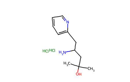 CC(C)(O)CC(N)Cc1ccccn1.Cl.Cl